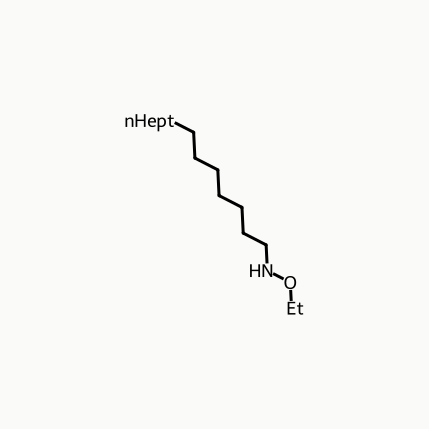 CCCCCCCCCCCCCCNOCC